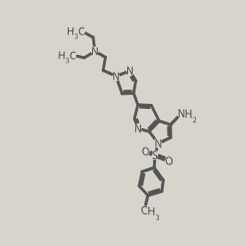 CCN(CC)CCn1cc(-c2cnc3c(c2)c(N)cn3S(=O)(=O)c2ccc(C)cc2)cn1